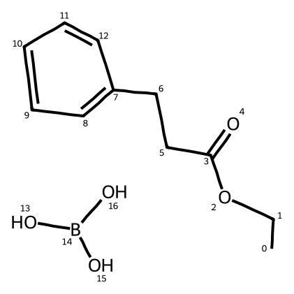 CCOC(=O)CCc1ccccc1.OB(O)O